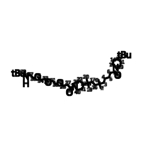 CC(C)(CCCCC(=O)N1CCC(C(C)(C)C)CC1)CCC(C)(C)C1CCN(C(=O)CCOCCOCCOCCNC(C)(C)C)CC1